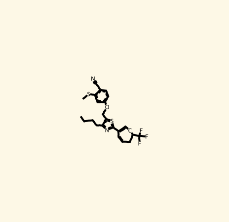 CCCCc1nc(C2=CCC(C(F)(F)F)CC=C2)sc1COc1ccc(C#N)c(SC)c1